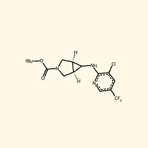 CC(C)(C)OC(=O)N1C[C@@H]2C(Nc3ncc(C(F)(F)F)cc3Cl)[C@@H]2C1